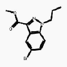 CCCn1nc(C(=O)OC)c2cc(Br)ccc21